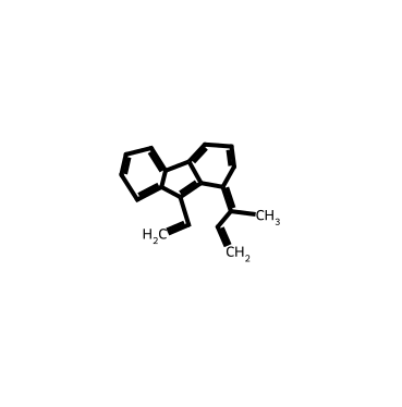 C=CC1=c2c(ccc/c2=C(\C)C=C)-c2ccccc21